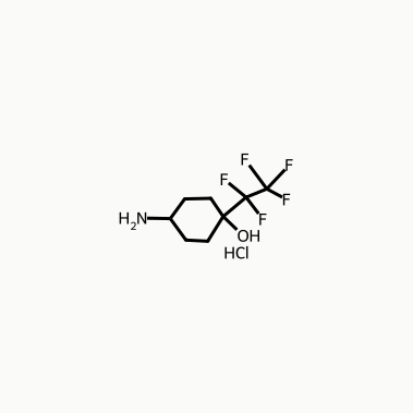 Cl.NC1CCC(O)(C(F)(F)C(F)(F)F)CC1